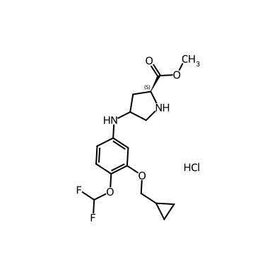 COC(=O)[C@@H]1CC(Nc2ccc(OC(F)F)c(OCC3CC3)c2)CN1.Cl